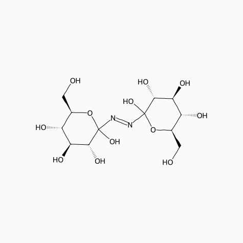 OC[C@H]1OC(O)(/N=N/C2(O)O[C@H](CO)[C@@H](O)[C@H](O)[C@H]2O)[C@H](O)[C@@H](O)[C@@H]1O